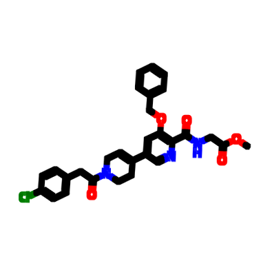 COC(=O)CNC(=O)c1ncc(C2=CCN(C(=O)Cc3ccc(Cl)cc3)CC2)cc1OCc1ccccc1